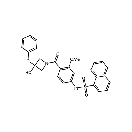 COc1cc(NS(=O)(=O)c2cccc3cccnc23)ccc1C(=O)N1CC(O)(Oc2ccccc2)C1